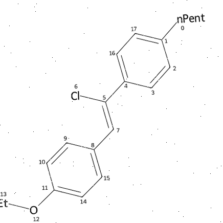 CCCCCc1ccc(/C(Cl)=C/c2ccc(OCC)cc2)cc1